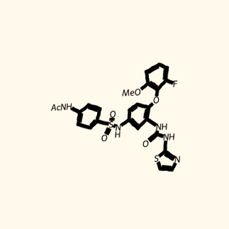 COc1cccc(F)c1Oc1ccc(NS(=O)(=O)c2ccc(NC(C)=O)cc2)cc1NC(=O)Nc1nccs1